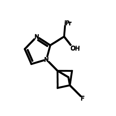 CC(C)C(O)c1nccn1C12CC(F)(C1)C2